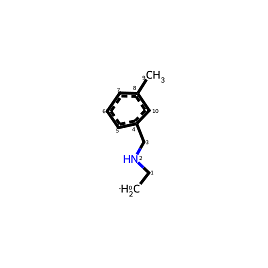 [CH2]CNCc1cccc(C)c1